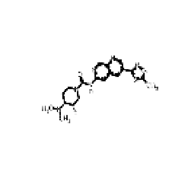 Cc1nnc(-c2cnc3cnc(NC(=O)N4CC[C@H](N(C)C)[C@@H](F)C4)cc3c2)s1